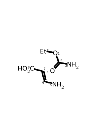 CCOC(N)=O.NC=CC(=O)O